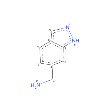 NCc1ccc2cn[nH]c2c1